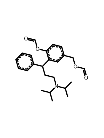 CC(C)N(CCC(c1ccccc1)c1cc(COC=O)ccc1OC=O)C(C)C